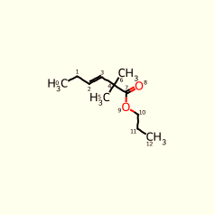 CCC=CC(C)(C)C(=O)OCCC